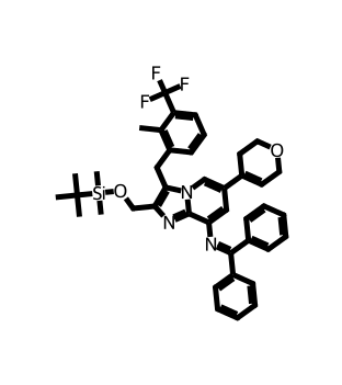 Cc1c(Cc2c(CO[Si](C)(C)C(C)(C)C)nc3c(N=C(c4ccccc4)c4ccccc4)cc(C4=CCOCC4)cn23)cccc1C(F)(F)F